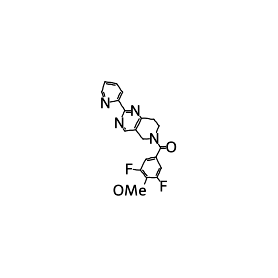 COc1c(F)cc(C(=O)N2CCc3nc(-c4ccccn4)ncc3C2)cc1F